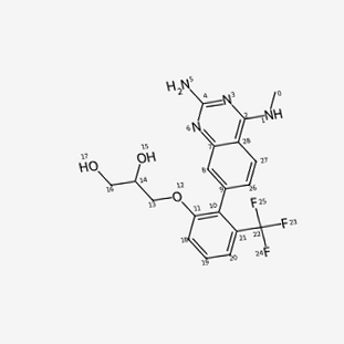 CNc1nc(N)nc2cc(-c3c(OCC(O)CO)cccc3C(F)(F)F)ccc12